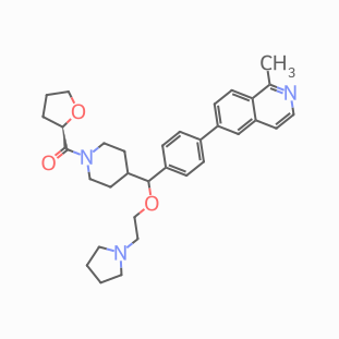 Cc1nccc2cc(-c3ccc(C(OCCN4CCCC4)C4CCN(C(=O)[C@H]5CCCO5)CC4)cc3)ccc12